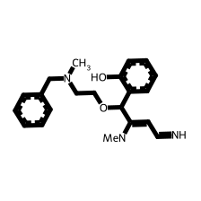 CN/C(=C\C=N)C(OCCN(C)Cc1ccccc1)c1ccccc1O